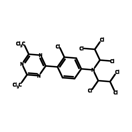 Clc1cc(N(C(Cl)C(Cl)Cl)C(Cl)C(Cl)Cl)ccc1-c1nc(C(Cl)(Cl)Cl)nc(C(Cl)(Cl)Cl)n1